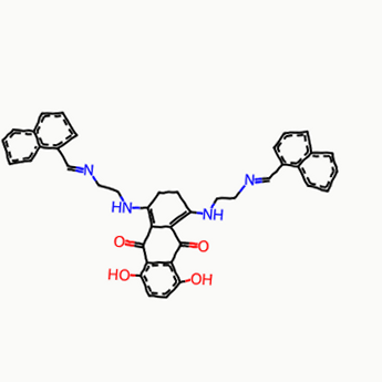 O=C1C2=C(NCC/N=C/c3cccc4ccccc34)CCC(NCC/N=C/c3cccc4ccccc34)=C2C(=O)c2c(O)ccc(O)c21